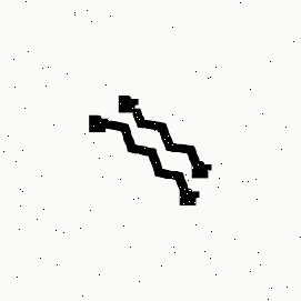 BrCCCCBr.BrCCCCCBr